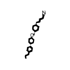 CCCc1ccc([C@H]2CC[C@H](OC[C@H]3CC[C@H](CCC=CC#N)CC3)CC2)cc1